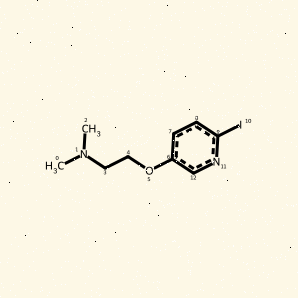 CN(C)CCOc1ccc(I)nc1